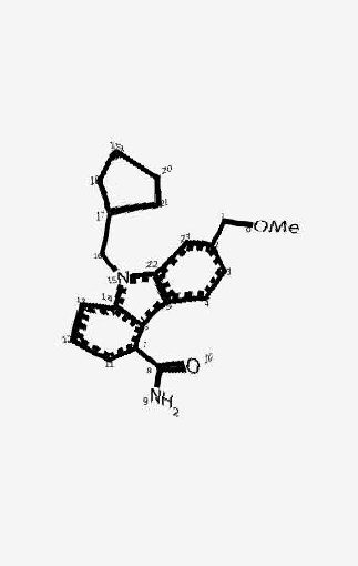 COCc1c[c]c2c3c(C(N)=O)cccc3n(CC3CCCC3)c2c1